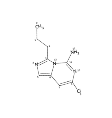 CCCc1ncc2cc(Cl)nc(N)n12